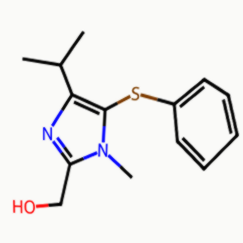 CC(C)c1nc(CO)n(C)c1Sc1ccccc1